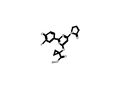 COC(=O)C1(Oc2cc(N3CCCC3=O)nc(-c3ccc(Cl)c(F)c3)n2)CC1